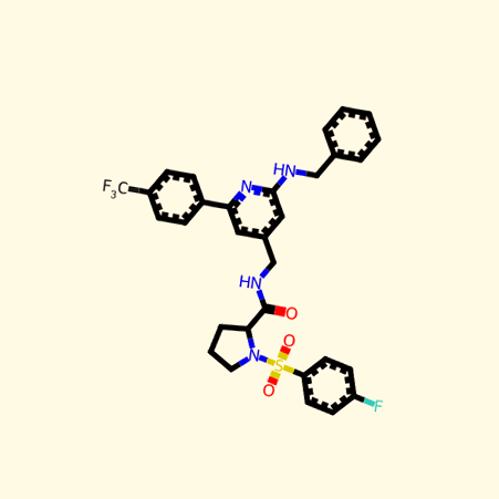 O=C(NCc1cc(NCc2ccccc2)nc(-c2ccc(C(F)(F)F)cc2)c1)C1CCCN1S(=O)(=O)c1ccc(F)cc1